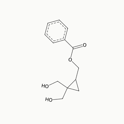 O=C(OCC1CC1(CO)CO)c1ccccc1